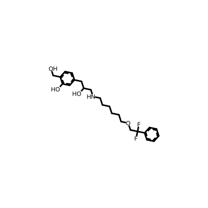 OCc1ccc(CC(O)CNCCCCCCOCC(F)(F)c2ccccc2)cc1O